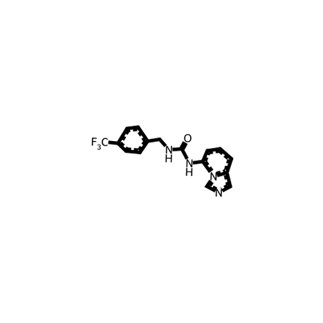 O=C(NCc1ccc(C(F)(F)F)cc1)Nc1cccc2cncn12